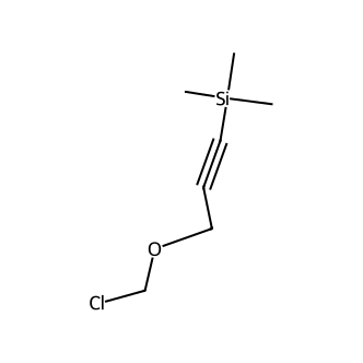 C[Si](C)(C)C#CCOCCl